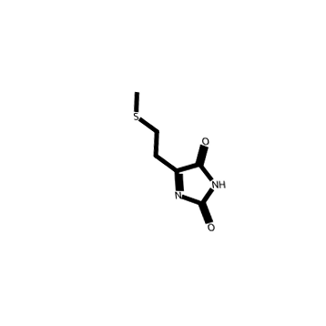 CSCCC1=NC(=O)NC1=O